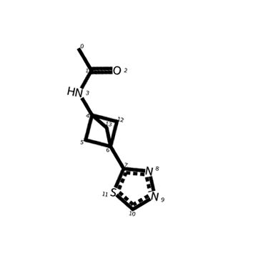 CC(=O)NC12CC(c3nncs3)(C1)C2